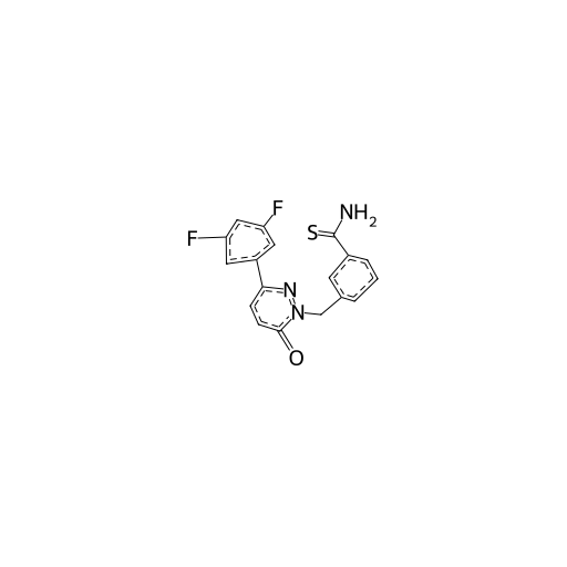 NC(=S)c1cccc(Cn2nc(-c3cc(F)cc(F)c3)ccc2=O)c1